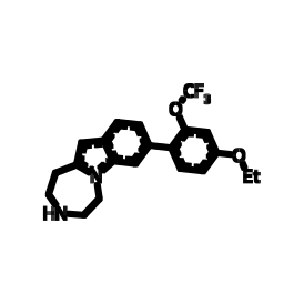 CCOc1ccc(-c2ccc3cc4n(c3c2)CCNCC4)c(OC(F)(F)F)c1